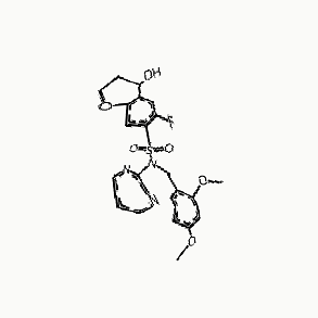 COc1ccc(CN(c2ncccn2)S(=O)(=O)c2cc3c(cc2F)C(O)CCO3)c(OC)c1